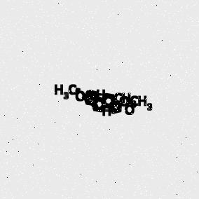 CCO[C@H]1CC[C@@]2(C=O)C(=CC[C@H]3[C@@H]4CC[C@H](OC(C)=O)[C@@]4(C)CC[C@@H]32)C1